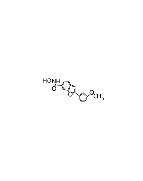 COc1cccc(-c2cc3ccc(C(=O)NO)cc3o2)c1